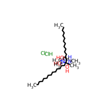 CCCCCCCCCCCCC(O)CC(CC(O)CCCCCCCCCCCC)(C(C)(O)NC)[N+](C)(C)C.Cl.[Cl-]